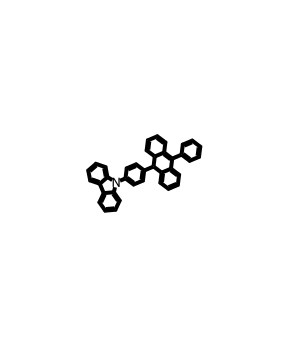 C1=CC2=C(c3ccccc3)c3ccccc3C(c3ccc(-n4c5ccccc5c5ccccc54)cc3)C2C=C1